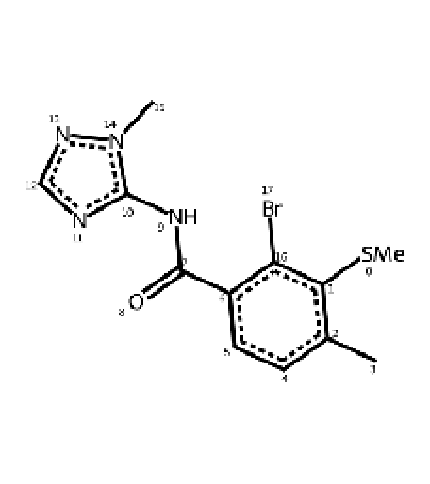 CSc1c(C)ccc(C(=O)Nc2ncnn2C)c1Br